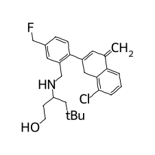 C=C1C=C(c2ccc(CF)cc2CNC(CCO)CC(C)(C)C)Cc2c(Cl)cccc21